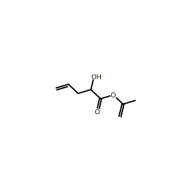 C=CCC(O)C(=O)OC(=C)C